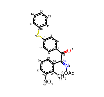 CC(=O)O/N=C(/C(=O)c1ccc(Sc2ccccc2)cc1)c1cccc([N+](=O)[O-])c1C